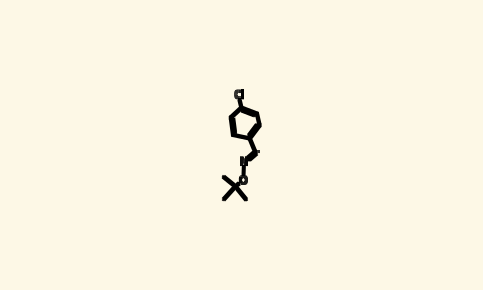 CC(C)(C)O/N=[C]/c1ccc(Cl)cc1